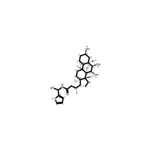 CC(C)C(NC(=O)C[C@@H](C)[C@H]1CC[C@H]2[C@@H]3[C@H](O)[C@H](O)[C@@H]4C[C@H](O)CC[C@]4(C)[C@H]3CC[C@]12C)c1cccs1